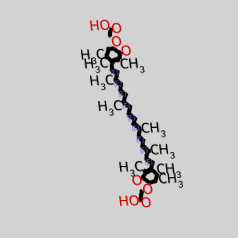 CC1=C(/C=C/C(C)=C/C=C/C(C)=C/C=C/C=C(C)/C=C/C=C(C)/C=C/C2=C(C)C(=O)C(OCC(=O)O)CC2(C)C)C(C)(C)CC(OCC(=O)O)C1=O